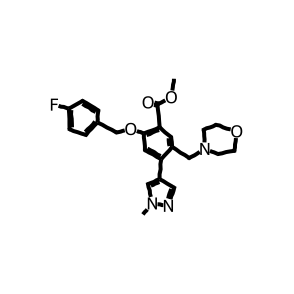 COC(=O)c1cc(CN2CCOCC2)c(-c2cnn(C)c2)cc1OCc1ccc(F)cc1